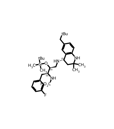 CC(C)(C)Cc1ccc2c(c1)[C@@H](NC[C@H](O[Si](C)(C)C(C)(C)C)[C@H](Cc1cccc(F)c1)NC(=O)O)CC(C)(C)N2